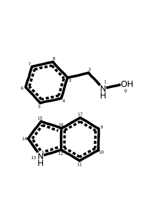 ONCc1ccccc1.c1ccc2[nH]ccc2c1